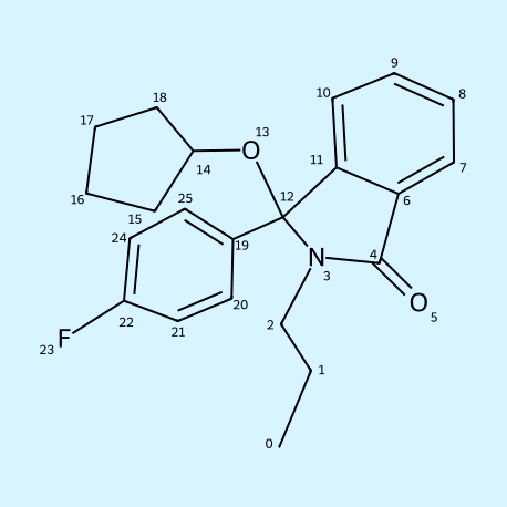 CCCN1C(=O)c2ccccc2C1(OC1CCCC1)c1ccc(F)cc1